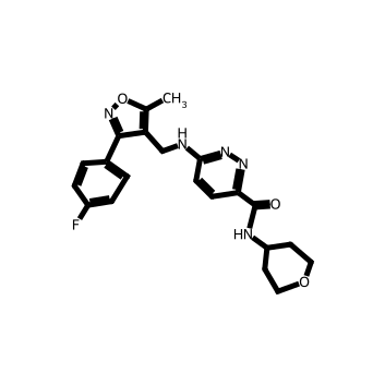 Cc1onc(-c2ccc(F)cc2)c1CNc1ccc(C(=O)NC2CCOCC2)nn1